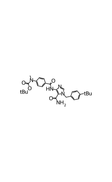 CN(C(=O)OC(C)(C)C)c1ccc(C(=O)Nc2ncn(Cc3ccc(C(C)(C)C)cc3)c2C(N)=O)cc1